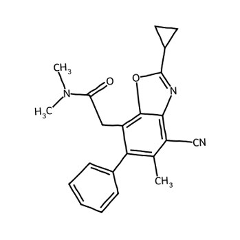 Cc1c(-c2ccccc2)c(CC(=O)N(C)C)c2oc(C3CC3)nc2c1C#N